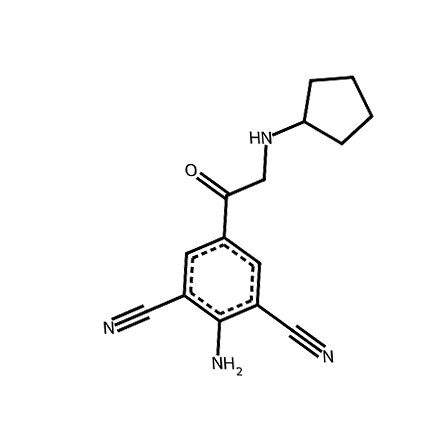 N#Cc1cc(C(=O)CNC2CCCC2)cc(C#N)c1N